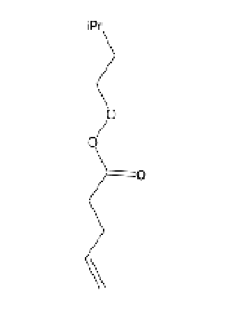 C=CCCC(=O)OOCCC(C)C